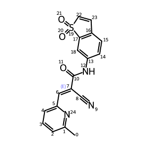 Cc1cccc(/C=C(\C#N)C(=O)Nc2ccc3c(c2)S(=O)(=O)C=C3)n1